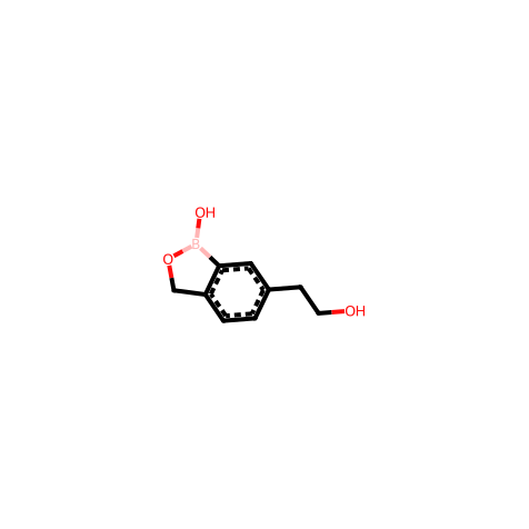 OCCc1ccc2c(c1)B(O)OC2